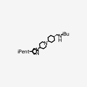 CCCC(C)c1cnn(C2CCN([C@H]3CC[C@H](CNC(C)CC)CC3)CC2)c1